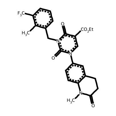 CCOC(=O)c1cn(-c2ccc3c(c2)CCC(=O)N3C)c(=O)n(Cc2cccc(C(F)(F)F)c2C)c1=O